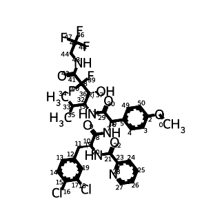 COc1ccc([C@H](NC(=O)[C@H](Cc2ccc(Cl)c(Cl)c2)NC(=O)c2ccccn2)C(=O)N[C@@H](C(C)C)[C@@H](O)C(F)(F)C(=O)NCC(F)(F)F)cc1